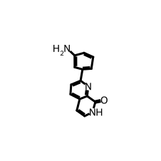 Nc1cccc(-c2ccc3cc[nH]c(=O)c3n2)c1